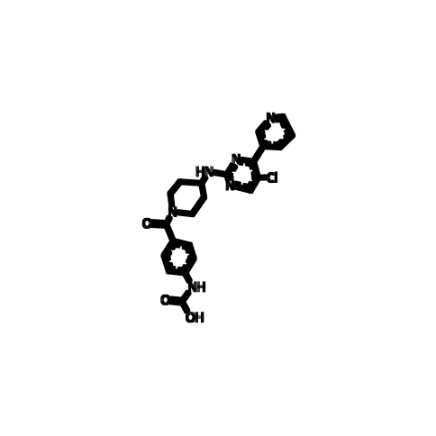 O=C(O)Nc1ccc(C(=O)N2CCC(Nc3ncc(Cl)c(-c4cccnc4)n3)CC2)cc1